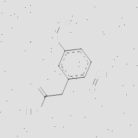 C=O.COc1cccc(CC(C)=O)c1